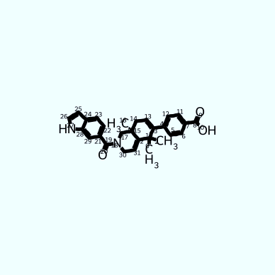 CC1(C)C(c2ccc(C(=O)O)cc2)=CC[C@]2(C)CN(C(=O)c3ccc4cc[nH]c4c3)CC=C12